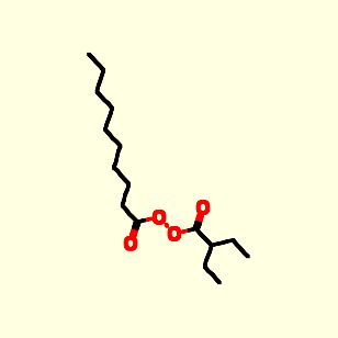 CCCCCCCCCC(=O)OOC(=O)C(CC)CC